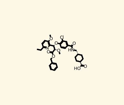 CCc1ccc(OC)c([C@H](Oc2ccc(C(=O)NC[C@H]3CC[C@H](C(=O)O)CC3)cc2Cl)[C@H](OC)C(=O)OCc2ccccc2)n1